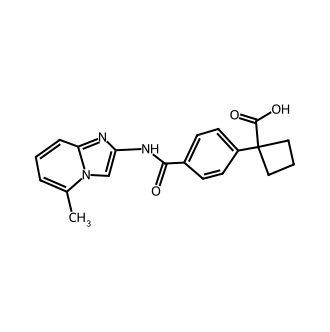 Cc1cccc2nc(NC(=O)c3ccc(C4(C(=O)O)CCC4)cc3)cn12